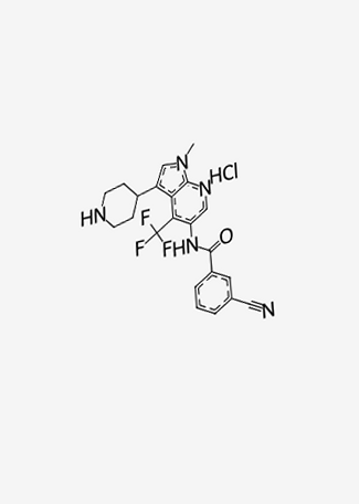 Cl.Cn1cc(C2CCNCC2)c2c(C(F)(F)F)c(NC(=O)c3cccc(C#N)c3)cnc21